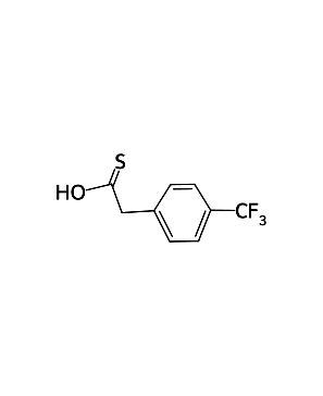 OC(=S)Cc1ccc(C(F)(F)F)cc1